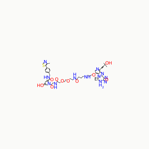 CCn1c(-c2nonc2N)nc2c(C#CC(C)(C)O)ncc(OCCCNCCCC(=O)NCCOCCOCC(=O)NCC(=O)N3C[C@H](O)C[C@H]3C(=O)NCc3ccc(-c4scnc4C)cc3)c21